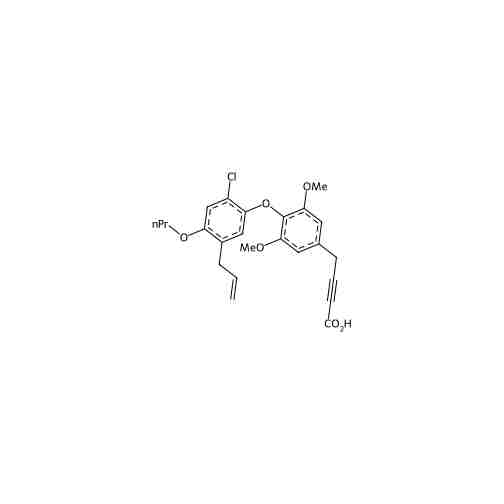 C=CCc1cc(Oc2c(OC)cc(CC#CC(=O)O)cc2OC)c(Cl)cc1OCCC